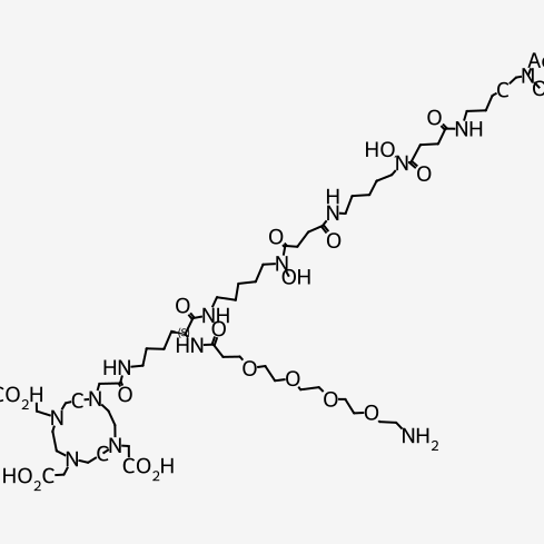 CC(=O)N(O)CCCCCNC(=O)CCC(=O)N(O)CCCCCNC(=O)CCC(=O)N(O)CCCCCNC(=O)[C@H](CCCCNC(=O)CN1CCN(CC(=O)O)CCN(CC(=O)O)CCN(CC(=O)O)CC1)NC(=O)CCOCCOCCOCCOCCN